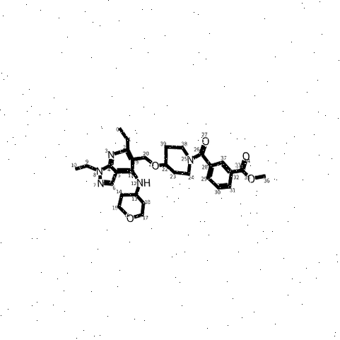 CCc1nc2c(cnn2CC)c(NC2CCOCC2)c1COC1CCN(C(=O)c2cccc(C(=O)OC)c2)CC1